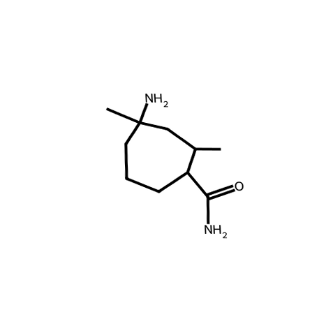 CC1CC(C)(N)CCCC1C(N)=O